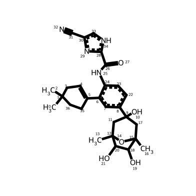 CC1(C)CC=C(c2cc(C3(O)CC4(C)OC(C)(C3)C(O)C4O)ccc2NC(=O)c2nc(C#N)c[nH]2)CC1